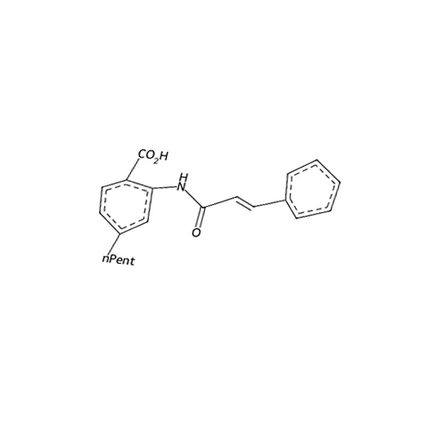 CCCCCc1ccc(C(=O)O)c(NC(=O)C=Cc2ccccc2)c1